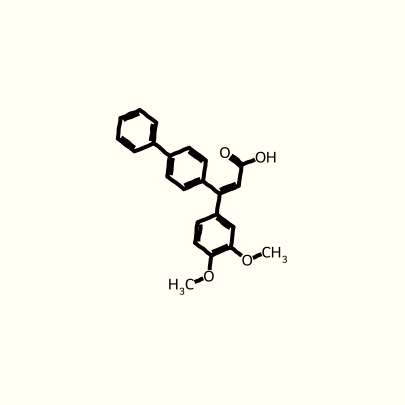 COc1ccc(/C(=C/C(=O)O)c2ccc(-c3ccccc3)cc2)cc1OC